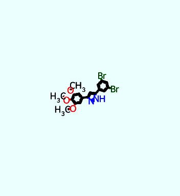 COc1cc(-c2cc(-c3cc(Br)cc(Br)c3)[nH]n2)cc(OC)c1OC